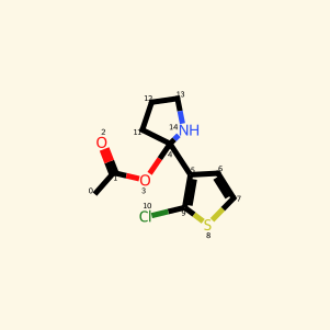 CC(=O)OC1(c2ccsc2Cl)CCCN1